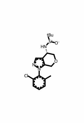 Cc1cccc(Cl)c1-n1ncc2c1COC[C@H]2N[S+]([O-])C(C)(C)C